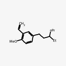 C=Cc1cc(CCC(CC)CCC)ccc1OC